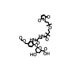 CC(C)(CCN1C(=O)C=CC1=O)OCCC(C)(C)C(=O)NCCC(=O)Nc1cc(COC=O)ccc1OC1CC(O)CC(C(=O)O)O1